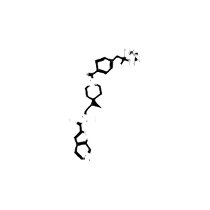 CC1(Cc2ccc(C(=O)N3CCC4(CC3)CC4CNC(=O)c3cc4ccncc4o3)cc2)N=NN=N1